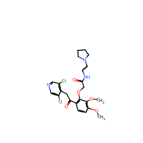 COc1ccc(C(=O)Cc2c(Cl)cncc2Cl)c(OCC(=O)NCCN2CCCC2)c1OC